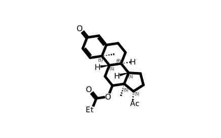 CCC(=O)OC1C[C@H]2[C@@H](CCC3=CC(=O)C=C[C@@]32C)[C@@H]2CC[C@H](C(C)=O)[C@@]12C